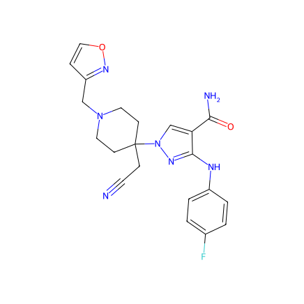 N#CCC1(n2cc(C(N)=O)c(Nc3ccc(F)cc3)n2)CCN(Cc2ccon2)CC1